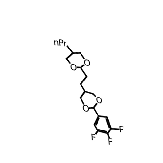 CCCC1COC(CCC2COC(c3cc(F)c(F)c(F)c3)OC2)OC1